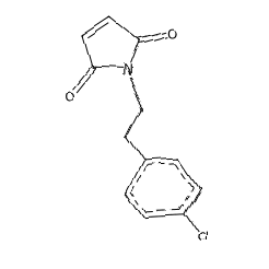 O=C1C=CC(=O)N1CCc1ccc(Cl)cc1